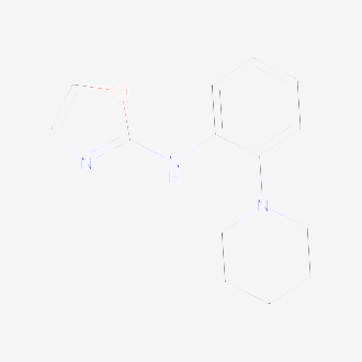 c1ccc(N2CCCCC2)c(Nc2ncco2)c1